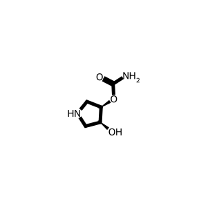 NC(=O)O[C@@H]1CNC[C@@H]1O